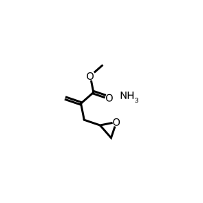 C=C(CC1CO1)C(=O)OC.N